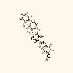 COC(=O)C(Cc1ccc(-c2ccccc2C)c(C)c1)NC(=O)c1cc2cc(OC)ccc2o1